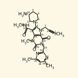 CC#CCn1c(N2CCC[C@@H](N)C2)c(C(=O)NC)c2c1c(=O)n(Cc1nc(C)cc(C)n1)c(=O)n2C